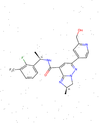 C[C@@H]1CN2N=C(c3ccnc(CO)c3)C=C(C(=O)N[C@H](C)c3cccc(C(F)(F)F)c3F)C2=N1